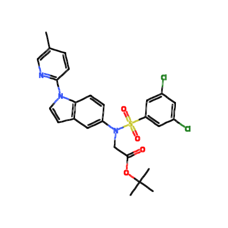 Cc1ccc(-n2ccc3cc(N(CC(=O)OC(C)(C)C)S(=O)(=O)c4cc(Cl)cc(Cl)c4)ccc32)nc1